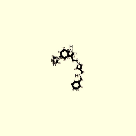 c1ccc(CNCC2CN(CCc3c[nH]c4ccc(-n5cnnc5)cc34)C2)cc1